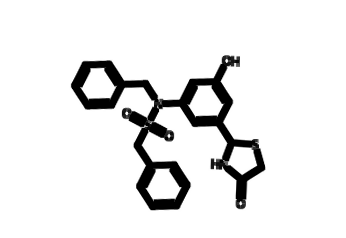 O=C1CSC(c2cc(O)cc(N(Cc3ccccc3)S(=O)(=O)Cc3ccccc3)c2)N1